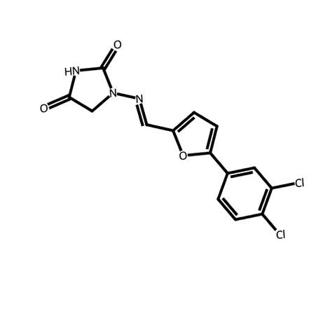 O=C1CN(N=Cc2ccc(-c3ccc(Cl)c(Cl)c3)o2)C(=O)N1